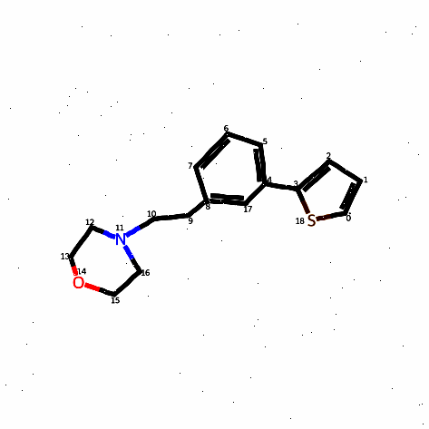 [c]1ccc(-c2cccc(CCN3CCOCC3)c2)s1